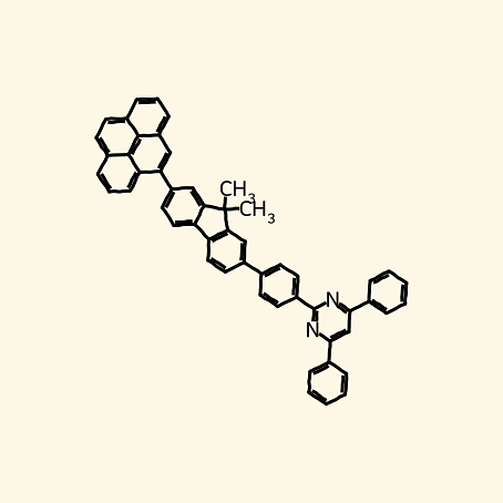 CC1(C)c2cc(-c3ccc(-c4nc(-c5ccccc5)cc(-c5ccccc5)n4)cc3)ccc2-c2ccc(-c3cc4cccc5ccc6cccc3c6c54)cc21